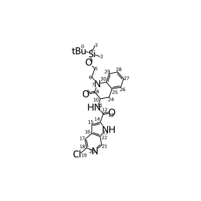 CC(C)(C)[Si](C)(C)OCCN1C(=O)C(NC(=O)c2cc3cc(Cl)ncc3[nH]2)Cc2ccccc21